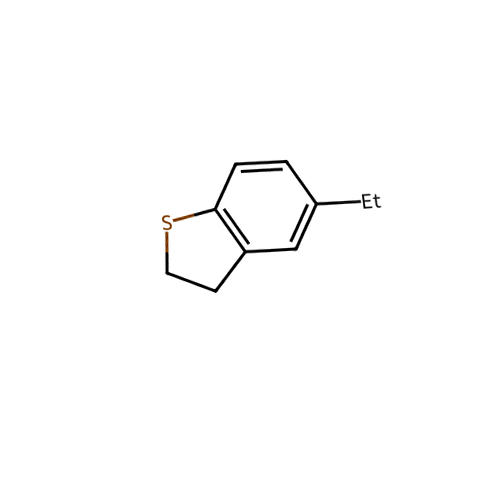 CCc1ccc2c(c1)CCS2